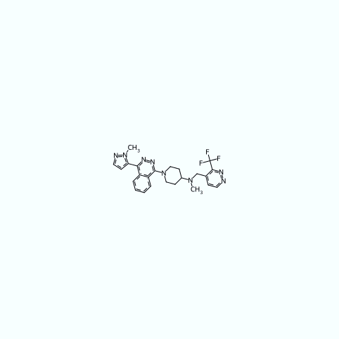 CN(Cc1ccnnc1C(F)(F)F)C1CCN(c2nnc(-c3ccnn3C)c3ccccc23)CC1